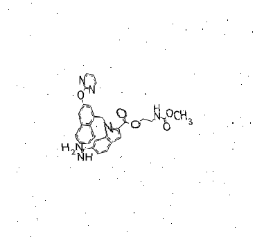 COC(=O)NCCOC(=O)c1cc2ccc(C(=N)N)cc2n1Cc1cc(Oc2ncccn2)cc2ccccc12